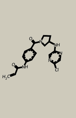 C=CC(=O)Nc1ccc(C(=O)N2CCC(Nc3cnc(Cl)cn3)C2)cc1